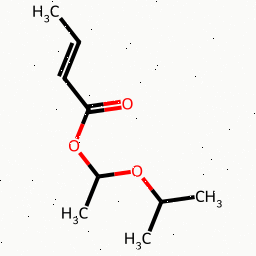 CC=CC(=O)OC(C)OC(C)C